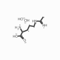 CC(=N)NCCCC(N)C(=O)O.Cl.Cl